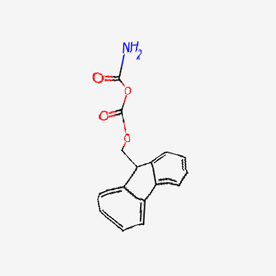 NC(=O)OC(=O)OCC1c2ccccc2-c2ccccc21